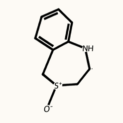 [O-][S+]1C[CH]Nc2ccccc2C1